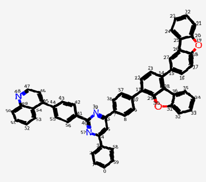 c1ccc(-c2cc(-c3ccc(-c4ccc(-c5ccc6oc7ccccc7c6c5)c5c4oc4ccccc45)cc3)nc(-c3ccc(-c4ccnc5ccccc45)cc3)n2)cc1